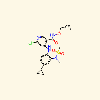 CN(c1cc(C2CC2)ccc1Nc1cc(Cl)ncc1C(=O)NOCC(F)(F)F)S(C)(=O)=O